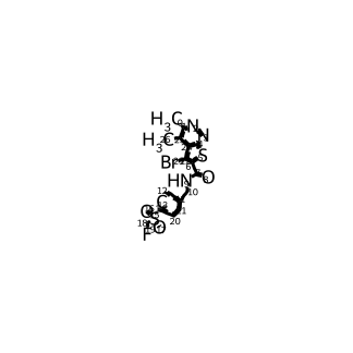 Cc1nnc2sc(C(=O)NCc3ccc(S(=O)(=O)CF)cc3)c(Br)c2c1C